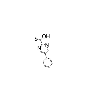 OC(=S)c1ncc(-c2ccccc2)cn1